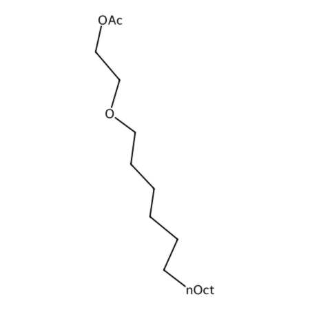 CCCCCCCCCCCCCCOCCOC(C)=O